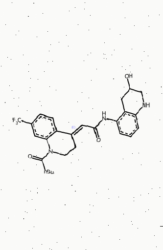 CCCCC(=O)N1CC/C(=C\C(=O)Nc2cccc3c2CC(O)CN3)c2ccc(C(F)(F)F)cc21